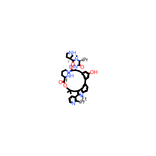 CCn1c(-c2cccnc2C(C)C)c2c3cc(ccc31)-c1cc(O)cc(c1)C[C@H](NC(=O)[C@H](C(C)C)N(C)C(=O)[C@@]1(C)CCNC1)C(=O)N1CCC[C@H](N1)C(=O)OCC(C)(C)C2